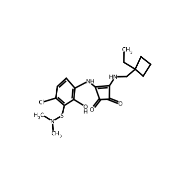 CCC1(CNc2c(Nc3ccc(Cl)c(SN(C)C)c3O)c(=O)c2=O)CCC1